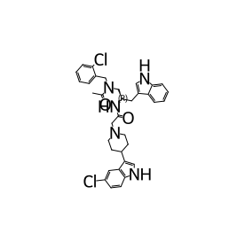 CC(=O)N(Cc1ccccc1Cl)C[C@@H](Cc1c[nH]c2ccccc12)NC(=O)CN1CCC(c2c[nH]c3ccc(Cl)cc23)CC1